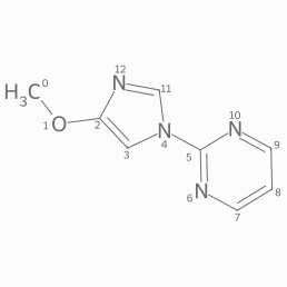 COc1cn(-c2ncccn2)cn1